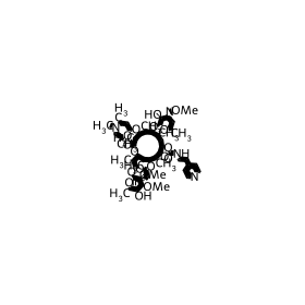 CON=C1C[C@@H](C)O[C@@H](O[C@@H]2[C@@H](C)[C@H](O[C@H]3C[C@H](C)N(C)C[C@H](C)O3)[C@@H](C)C(=O)O[C@H]([C@@H](C)CO[C@@H]3O[C@H](C)[C@@H](O)[C@@H](OC)[C@H]3OC)[C@H](C)[C@@H](OC(=O)CC(C)C)[C@@H](C)C(=O)[C@@H](OC(=O)NCCc3ccncc3)C[C@@H]2C)[C@@H]1O